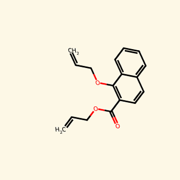 C=CCOC(=O)c1ccc2ccccc2c1OCC=C